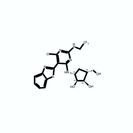 OC[C@H]1C[C@@H](Nc2nc(NCC(F)(F)F)nc(Cl)c2-c2nc3ccccc3s2)[C@H](O)[C@@H]1O